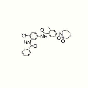 Cc1cc(N2CCCCCS2(=O)=O)ccc1C(=O)Nc1ccc(Cl)c(NC(=O)c2ccccc2)c1